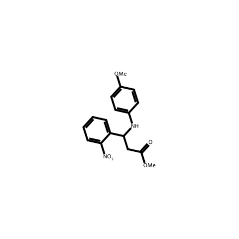 COC(=O)CC(Nc1ccc(OC)cc1)c1ccccc1[N+](=O)[O-]